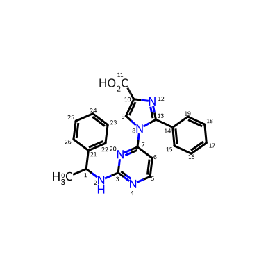 CC(Nc1nccc(-n2cc(C(=O)O)nc2-c2ccccc2)n1)c1ccccc1